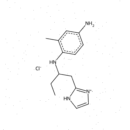 CCC(CC1=[N+]C=CN1)Nc1ccc(N)cc1C.[Cl-]